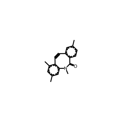 Cc1ccc2c(c1)C#Cc1c(C)cc(C)cc1N(C)C2=O